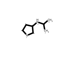 CC(C)NC1CC[N]C1